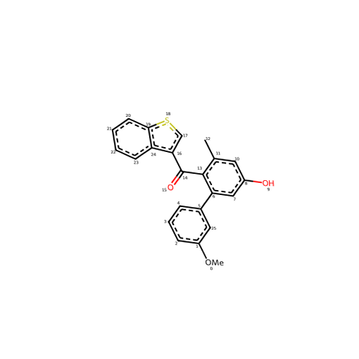 COc1cccc(-c2cc(O)cc(C)c2C(=O)c2csc3ccccc23)c1